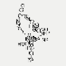 Cc1ncsc1-c1ccc([C@H](C)NC(=O)[C@@H]2C[C@@H](O)CN2C(=O)[C@@H](NC(=O)CCCCCCC(=O)N2CCN(CC3(C)CCC(c4ccc(Cl)cc4)=C(CN4CCN(c5ccc(C(=O)NS(=O)(=O)c6ccc(N[C@H](CCN(C)C7CC7)CSc7ccccc7)c([N+](=O)[O-])c6)cc5)CC4)C3)CC2)C(C)(C)C)cc1